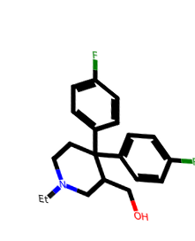 CCN1CCC(c2ccc(F)cc2)(c2ccc(F)cc2)C(CO)C1